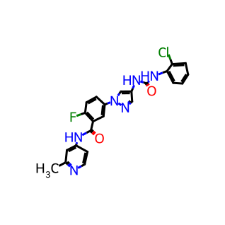 Cc1cc(NC(=O)c2cc(-n3cc(NC(=O)Nc4ccccc4Cl)cn3)ccc2F)ccn1